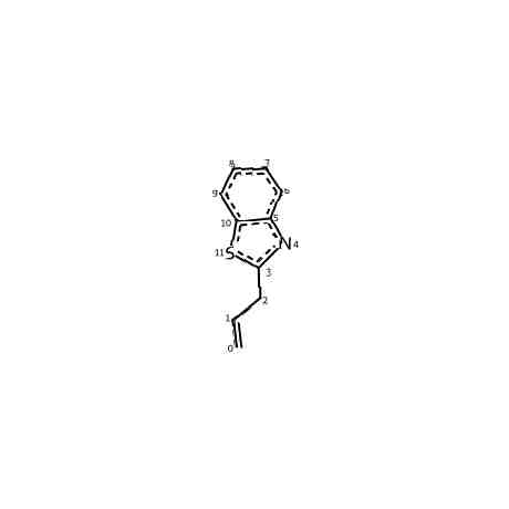 C=CCc1nc2[c]cccc2s1